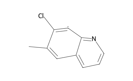 Cc1cc2cccnc2[c]c1Cl